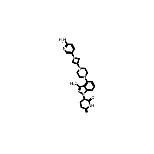 Cc1nn(C2CCC(=O)NC2=O)c2cccc(N3CCN(C4CN(c5ccc(N)nc5)C4)CC3)c12